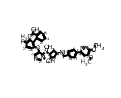 COc1cc(-c2ccc(CN[C@H]3C[C@@H](O)[C@@H](N(C)c4ncncc4Oc4ccc(F)cc4-c4ccccc4C(C)C)C3)cc2)nnc1OC